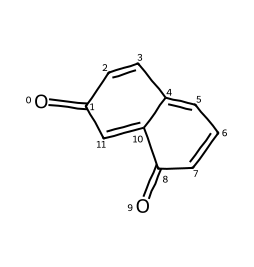 O=C1C=CC2=CC=CC(=O)C2=C1